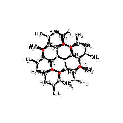 BB(B)B(B)B(B(B)B)B(B(B(B)B)B(B)B)B(B(B(B(B)B)B(B)B)B(B(B)B)B(B)B)B(B(B(B(B)B)B(B)B)B(B(B)B)B(B)B)B(B(B(B)B)B(B)B)B(B(B)B)B(B)B